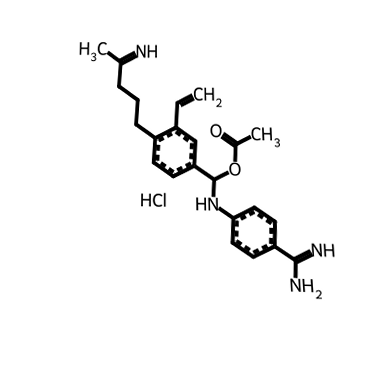 C=Cc1cc(C(Nc2ccc(C(=N)N)cc2)OC(C)=O)ccc1CCCC(C)=N.Cl